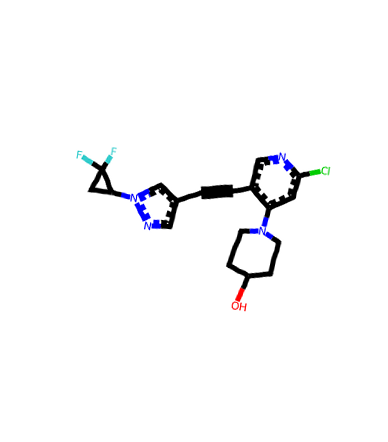 OC1CCN(c2cc(Cl)ncc2C#Cc2cnn(C3CC3(F)F)c2)CC1